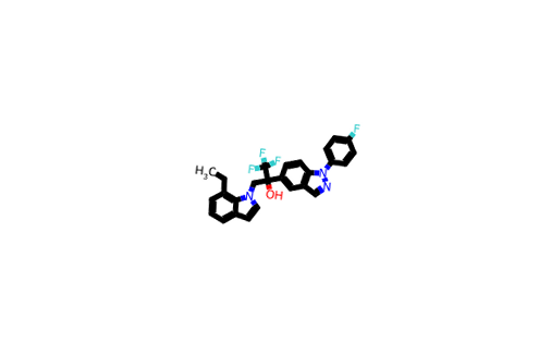 CCc1cccc2ccn(CC(O)(c3ccc4c(cnn4-c4ccc(F)cc4)c3)C(F)(F)F)c12